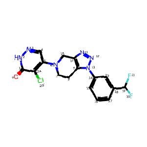 O=c1[nH]ncc(N2CCc3c(nnn3-c3cccc(C(F)F)c3)C2)c1Cl